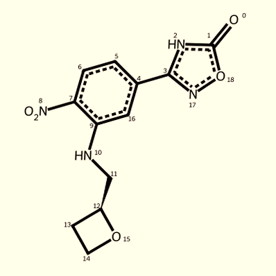 O=c1[nH]c(-c2ccc([N+](=O)[O-])c(NC[C@@H]3CCO3)c2)no1